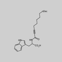 CCCCCCCCCCCCCCCC#CC(=O)NC(Cc1c[nH]c2ccccc12)C(=O)O